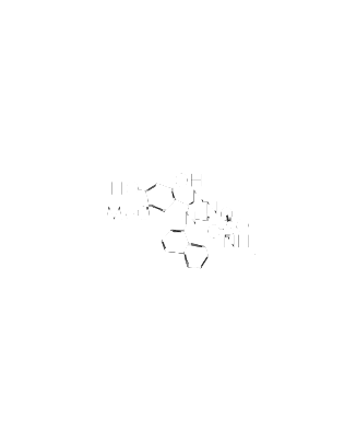 COc1cc(-c2nnc(OS(N)(=O)=O)n2-c2cccc3ccccc23)c(O)cc1O